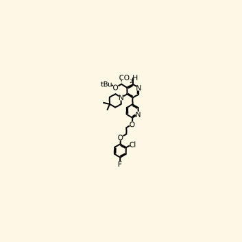 Cc1ncc(-c2ccc(OCCOc3ccc(F)cc3Cl)nc2)c(N2CCC(C)(C)CC2)c1[C@H](OC(C)(C)C)C(=O)O